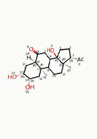 CC(=O)[C@H]1CC[C@@]2(O)C3CC(=O)[C@@H]4C[C@@H](O)[C@@H](O)C[C@]4(C)C3CC[C@]12C